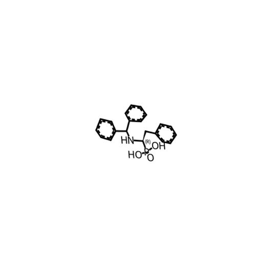 O=P(O)(O)[C@H](Cc1ccccc1)NC(c1ccccc1)c1ccccc1